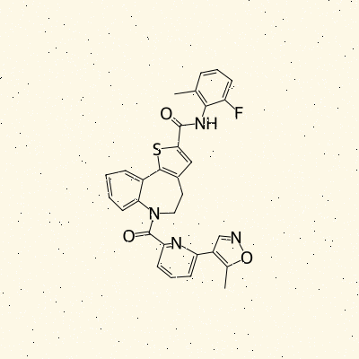 Cc1cccc(F)c1NC(=O)c1cc2c(s1)-c1ccccc1N(C(=O)c1cccc(-c3cnoc3C)n1)CC2